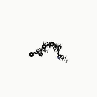 CC=C(/C=C\C)CCC(=O)N1CCC[C@H]1C(=O)Nc1ccc2[nH]c(-c3cccc(NC(=O)[C@@H]4CCCN4C(=O)CCc4ccccc4)c3)nc2c1